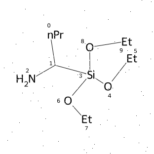 CCCC(N)[Si](OCC)(OCC)OCC